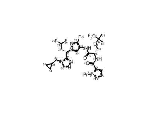 CC(C)n1nccc1C(=O)N[C@@H](COC(C)(C)C(F)(F)F)C(=O)Nc1cn([C@@H](CC(F)F)c2nncn2CC2CC2)nc1F